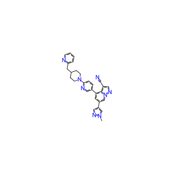 Cn1cc(-c2cc(-c3ccc(N4CCC(Cc5ccccn5)CC4)nc3)c3c(C#N)cnn3c2)cn1